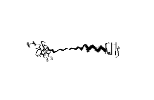 CCCCCCCCCCCCCCCCCCC[Si](C)(C)CC